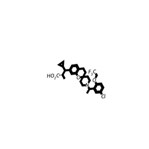 CC(c1cc(Cl)ccc1OCC(F)(F)F)N1CCC2(CCc3ccc(C(C4CC4)[C@H](C)C(=O)O)cc3O2)CC1